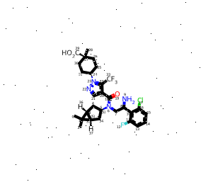 CC1(C)[C@@H]2C[C@@H](N(CC(N)c3c(F)cccc3Cl)C(=O)c3cnn([C@H]4CC[C@](C)(C(=O)O)CC4)c3C(F)(F)F)C[C@@H]21